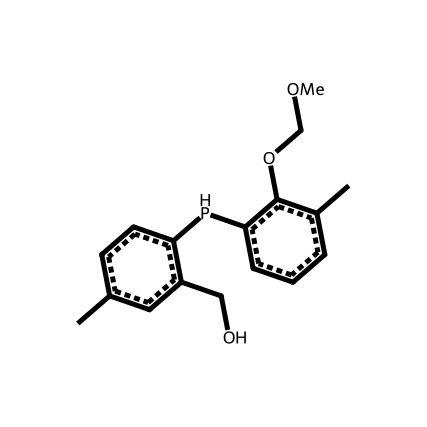 COCOc1c(C)cccc1Pc1ccc(C)cc1CO